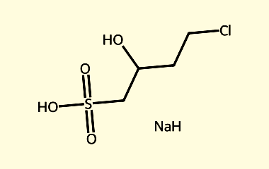 O=S(=O)(O)CC(O)CCCl.[NaH]